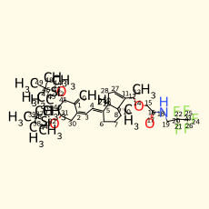 C=C1/C(=C\C=C2/CCC[C@]3(C)C([C@H](C)OCC(=O)NCC(F)(F)C(F)(F)F)=CC[C@@H]23)C[C@@H](O[Si](C)(C)C(C)(C)C)C[C@@H]1O[Si](C)(C)C(C)(C)C